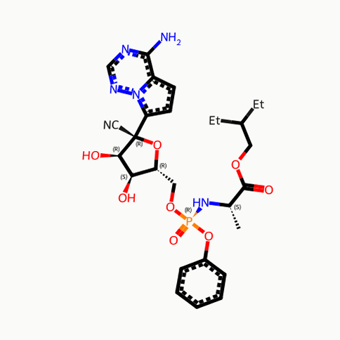 CCC(CC)COC(=O)[C@H](C)N[P@@](=O)(OC[C@H]1O[C@@](C#N)(c2ccc3c(N)ncnn23)[C@H](O)[C@@H]1O)Oc1ccccc1